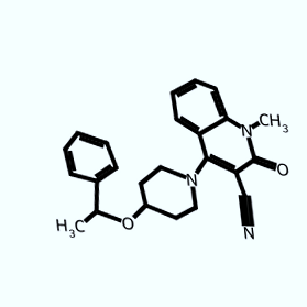 CC(OC1CCN(c2c(C#N)c(=O)n(C)c3ccccc23)CC1)c1ccccc1